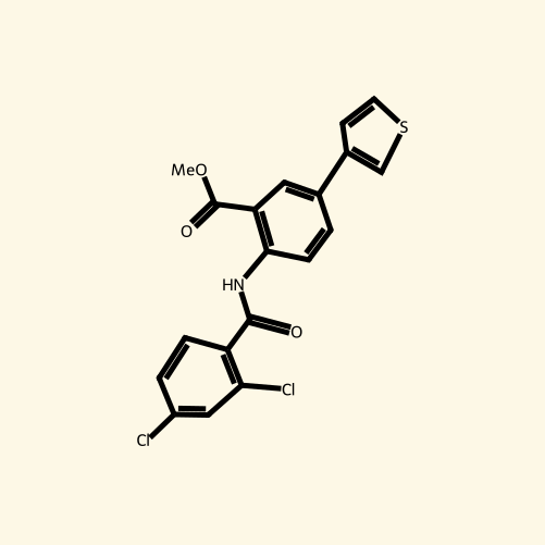 COC(=O)c1cc(-c2ccsc2)ccc1NC(=O)c1ccc(Cl)cc1Cl